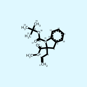 C=CCC1(C(=O)OC)Cc2ccccc2N1C(=O)OC(C)(C)C